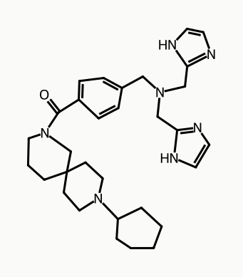 O=C(c1ccc(CN(Cc2ncc[nH]2)Cc2ncc[nH]2)cc1)N1CCCC2(CCN(C3CCCCC3)CC2)C1